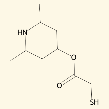 CC1CC(OC(=O)CS)CC(C)N1